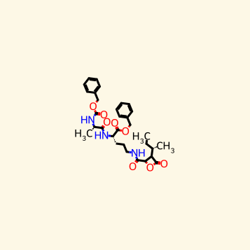 CC[C@H](C)C1C(=O)OC1C(=O)NCCC[C@H](NC(=O)[C@H](C)NC(=O)OCc1ccccc1)C(=O)OCc1ccccc1